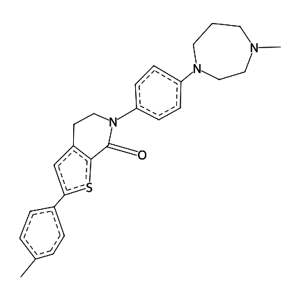 Cc1ccc(-c2cc3c(s2)C(=O)N(c2ccc(N4CCCN(C)CC4)cc2)CC3)cc1